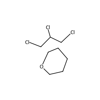 C1CCOCC1.ClCC(Cl)CCl